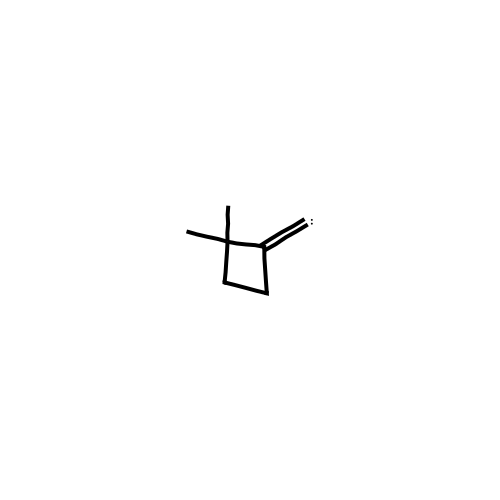 [C]=C1CCC1(C)C